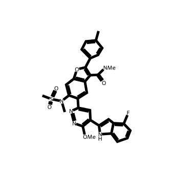 CNC(=O)c1c(-c2ccc(C)cc2)oc2cc(N(C)S(C)(=O)=O)c(-c3cc(-c4cc5c(F)cccc5[nH]4)c(OC)nn3)cc12